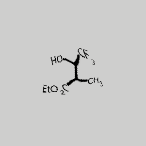 CCOC(=O)C(C)C(O)C(F)(F)F